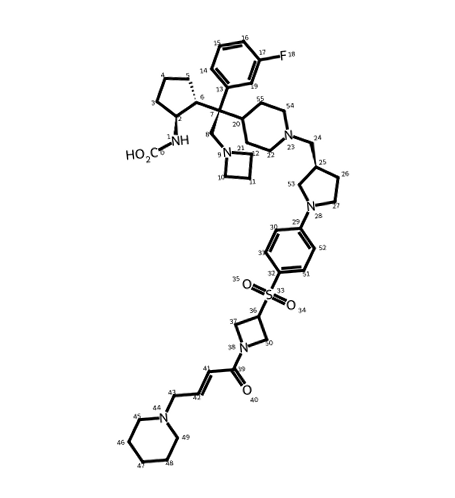 O=C(O)N[C@H]1CCC[C@@H]1[C@](CN1CCC1)(c1cccc(F)c1)C1CCN(C[C@H]2CCN(c3ccc(S(=O)(=O)C4CN(C(=O)/C=C/CN5CCCCC5)C4)cc3)C2)CC1